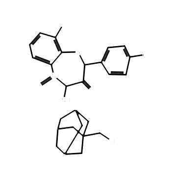 NC1C(=O)C(c2ccc(F)cc2)Nc2c(F)cccc2[N+]1=O.[Zn][CH2]C12CC3CC(CC(C3)C1)C2